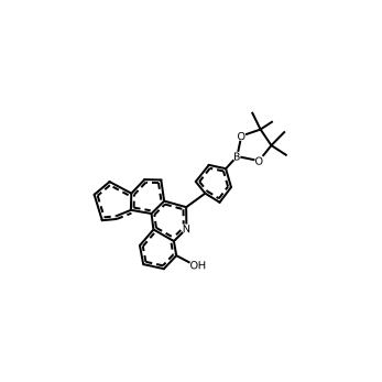 CC1(C)OB(c2ccc(-c3nc4c(O)cccc4c4c3ccc3ccccc34)cc2)OC1(C)C